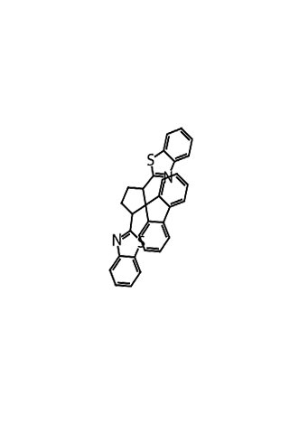 c1ccc2c(c1)-c1ccccc1C21C(c2nc3ccccc3s2)CCC1c1nc2ccccc2s1